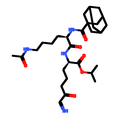 CC(=O)NCCCC[C@H](NC(=O)C12CC3CC(CC(C3)C1)C2)C(=O)N[C@@H](CCCC(=O)C=N)C(=O)OC(C)C